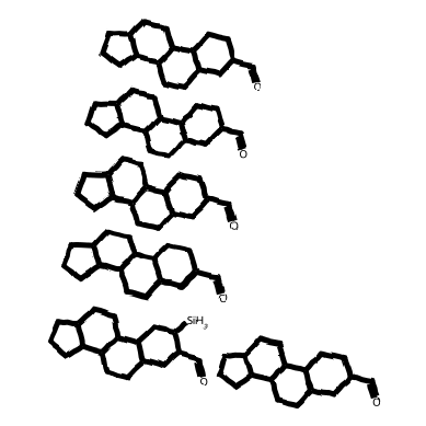 O=CC1CC2CCC3C4CCCC4CCC3C2CC1[SiH3].O=CC1CCC2C(CCC3C4CCCC4CCC23)C1.O=CC1CCC2C(CCC3C4CCCC4CCC23)C1.O=CC1CCC2C(CCC3C4CCCC4CCC23)C1.O=CC1CCC2C(CCC3C4CCCC4CCC23)C1.O=CC1CCC2C(CCC3C4CCCC4CCC23)C1